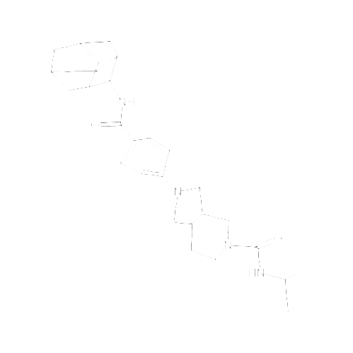 CC(C)NC(=O)N1CCC2CN(c3ccc(C(=O)NC4C5CC6CC(C5)CC4C6)cc3)CC2C1